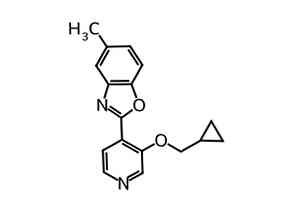 Cc1ccc2oc(-c3ccncc3OCC3CC3)nc2c1